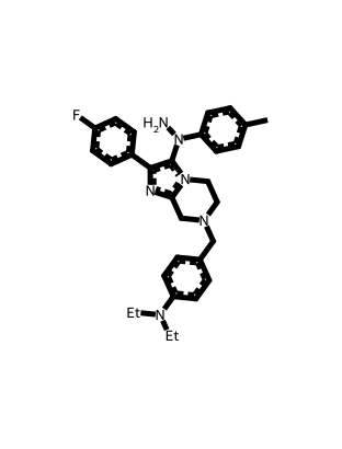 CCN(CC)c1ccc(CN2CCn3c(nc(-c4ccc(F)cc4)c3N(N)c3ccc(C)cc3)C2)cc1